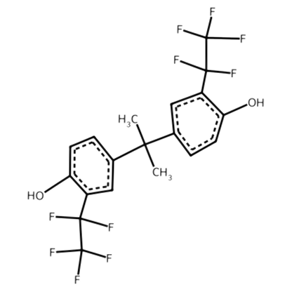 CC(C)(c1ccc(O)c(C(F)(F)C(F)(F)F)c1)c1ccc(O)c(C(F)(F)C(F)(F)F)c1